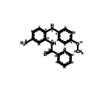 Bc1ccc(Nc2ccc(OC)nc2)c(NC(=O)c2ccccn2)c1